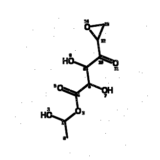 CC(O)OC(=O)C(O)C(O)C(=O)C1CO1